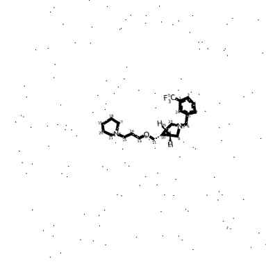 FC(F)(F)c1cccc(CN2C[C@@H]3[C@H](COCCCN4CCCCC4)[C@@H]3C2)c1